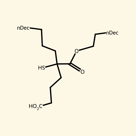 CCCCCCCCCCCCCC(S)(CCCC(=O)O)C(=O)OCCCCCCCCCCCC